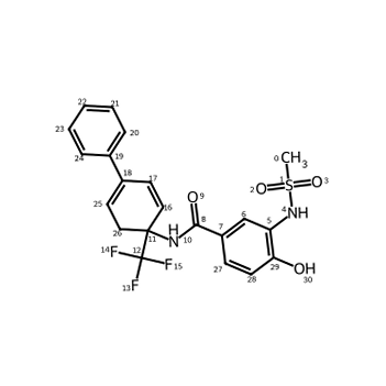 CS(=O)(=O)Nc1cc(C(=O)NC2(C(F)(F)F)C=CC(c3ccccc3)=CC2)ccc1O